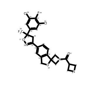 O=C(C1CSC1)N1CC2(C1)OCc1cc(C3=NOC(c4cc(Cl)c(F)c(Cl)c4)(C(F)(F)F)C3)ccc12